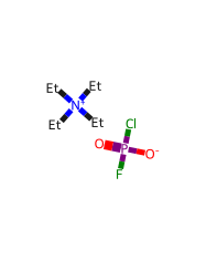 CC[N+](CC)(CC)CC.O=P([O-])(F)Cl